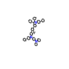 CC1(C)c2cc(-c3ccc4c(c3)c(-c3ccccc3)c(-c3ccccc3)n4-c3ccc(-c4ccccc4)cc3)ccc2-c2ccc(N(c3ccc(-c4ccccc4)cc3)c3ccc(N(c4ccccc4)c4ccccc4)cc3)cc21